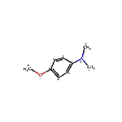 COc1c[c]c(N(C)C)cc1